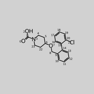 O=C(O)N1CCC(OCc2ccccc2-c2ccccc2Cl)CC1